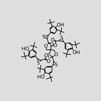 CC(C)(C)c1cc(C2SC2C(=O)OCC(COC(=O)C2SC2c2cc(C(C)(C)C)c(O)c(C(C)(C)C)c2)(COC(=O)C2SC2c2cc(C(C)(C)C)c(O)c(C(C)(C)C)c2)COC(=O)C2SC2c2cc(C(C)(C)C)c(O)c(C(C)(C)C)c2)cc(C(C)(C)C)c1O